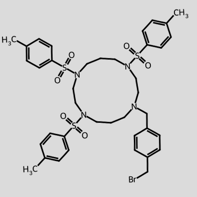 Cc1ccc(S(=O)(=O)N2CCCN(S(=O)(=O)c3ccc(C)cc3)CCN(S(=O)(=O)c3ccc(C)cc3)CCCN(Cc3ccc(CBr)cc3)CC2)cc1